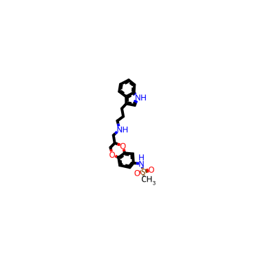 CS(=O)(=O)Nc1ccc2c(c1)OC(CNCCCc1c[nH]c3ccccc13)CO2